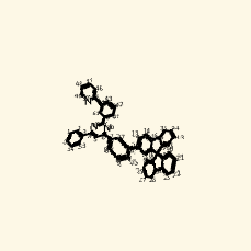 c1ccc(-c2cc(-c3cccc(-c4ccc5c(c4)C4(c6ccccc6-c6ccccc64)c4ccccc4-5)c3)nc(-c3cccc(-c4ccccn4)c3)n2)cc1